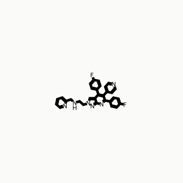 Fc1ccc(-c2nc3nn(CCNCc4ccccn4)cc3c(-c3ccc(F)cc3)c2-c2ccncc2)cc1